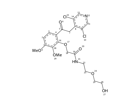 COc1ccc(C(=O)Cc2c(Cl)cncc2Cl)c(OCC(=O)NCCOCCO)c1OC